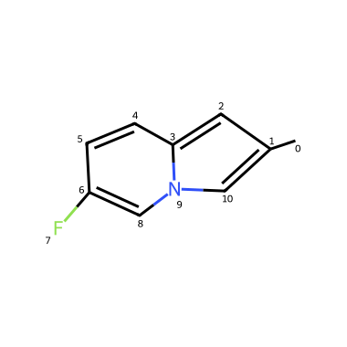 Cc1cc2ccc(F)cn2c1